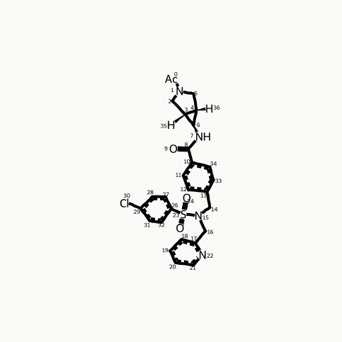 CC(=O)N1C[C@@H]2[C@H](C1)[C@H]2NC(=O)c1ccc(CN(Cc2ccccn2)S(=O)(=O)c2ccc(Cl)cc2)cc1